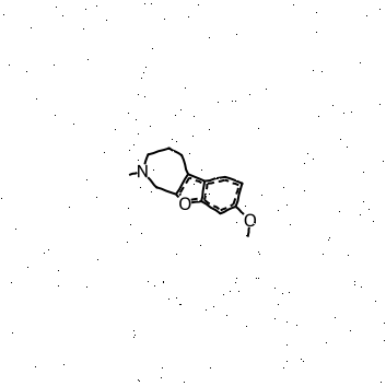 COc1ccc2c3c(oc2c1)CN(C)CCC3